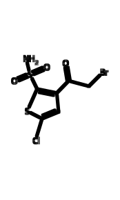 NS(=O)(=O)c1sc(Cl)cc1C(=O)CBr